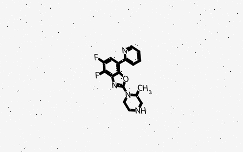 CC1CNCCN1c1nc2c(F)c(F)cc(-c3ccccn3)c2o1